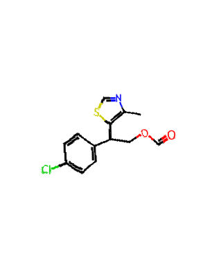 Cc1ncsc1C(COC=O)c1ccc(Cl)cc1